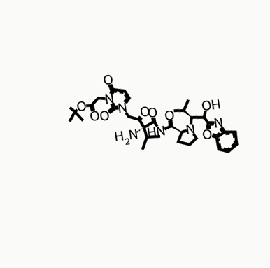 CC(C)[C@@H](C(O)c1nc2ccccc2o1)N1CCC[C@H]1C(=O)NC(=O)[C@](N)(C(=O)Cn1ccc(=O)n(CC(=O)OC(C)(C)C)c1=O)C(C)C